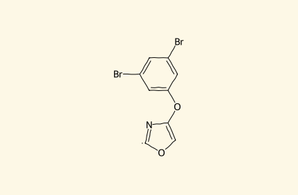 Brc1cc(Br)cc(Oc2co[c]n2)c1